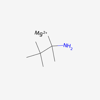 CC(C)(C)C(C)(C)N.[Mg+2]